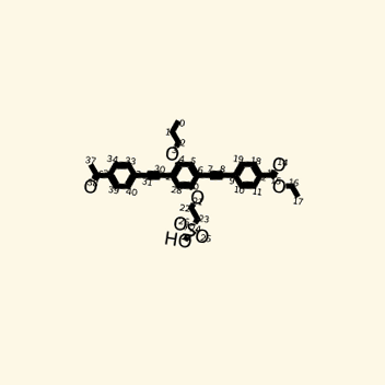 CCCOc1cc(C#Cc2ccc(C(=O)OCC)cc2)c(OCCS(=O)(=O)O)cc1C#Cc1ccc(C(C)=O)cc1